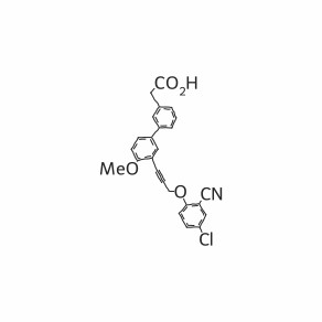 COc1ccc(-c2cccc(CC(=O)O)c2)cc1C#CCOc1ccc(Cl)cc1C#N